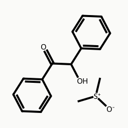 C[S+](C)[O-].O=C(c1ccccc1)C(O)c1ccccc1